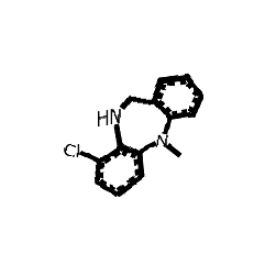 CN1c2ccccc2CNc2c(Cl)cccc21